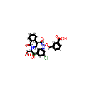 O=C(O)c1cccc(CONC(=O)[C@@H]2c3ccccc3C(=O)N(C(CO)CO)[C@H]2c2ccc(Cl)cc2Cl)c1